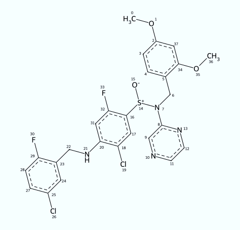 COc1ccc(CN(c2cnccn2)[S+]([O-])c2cc(Cl)c(NCc3cc(Cl)ccc3F)cc2F)c(OC)c1